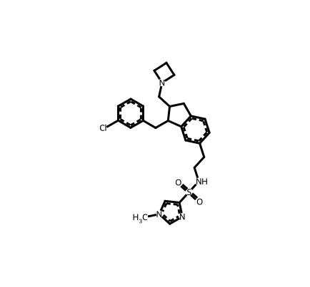 Cn1cnc(S(=O)(=O)NCCc2ccc3c(c2)C(Cc2cccc(Cl)c2)C(CN2CCC2)C3)c1